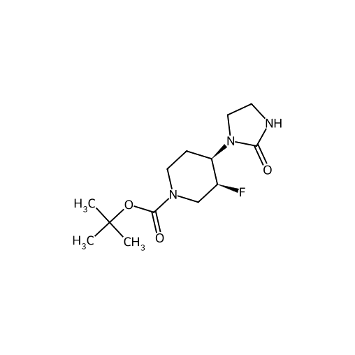 CC(C)(C)OC(=O)N1CC[C@@H](N2CCNC2=O)[C@@H](F)C1